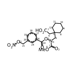 COC(=O)N(CC1(CC(=O)O)CCCCC1)OC(=O)c1cccc(CO[N+](=O)[O-])c1